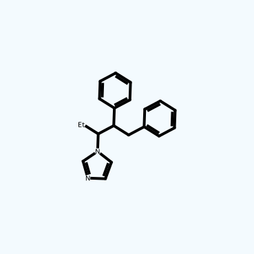 CCC(C(Cc1ccccc1)c1ccccc1)n1ccnc1